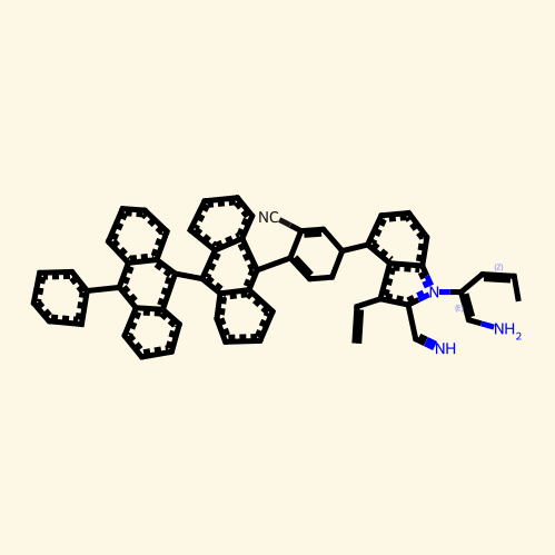 C=Cc1c(C=N)n(C(/C=C\C)=C/N)c2cccc(C3C=C(C#N)C(c4c5ccccc5c(-c5c6ccccc6c(-c6ccccc6)c6ccccc56)c5ccccc45)=CC3)c12